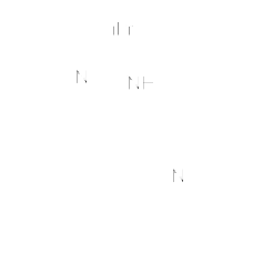 Cc1cc2ccc3nc(C(C)C)[nH]c3c2cn1